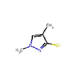 Cc1cn(C)nc1S